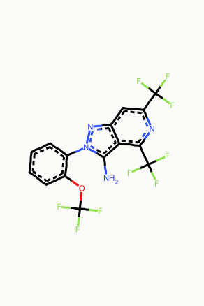 Nc1c2c(C(F)(F)F)nc(C(F)(F)F)cc2nn1-c1ccccc1OC(F)(F)F